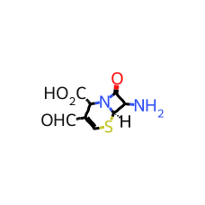 NC1C(=O)N2C(C(=O)O)C(C=O)=CS[C@H]12